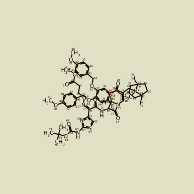 BOC(=O)CCO/N=C(\C(=O)N[C@@H]1C(=O)N2C=C(C[N+]3(C)[C@@H]4CC[C@H]3C[C@@H](NC(=O)c3cc(OCc5ccc(OC)cc5)c(OCc5ccc(OC)cc5)cc3F)C4)CS[C@H]12)c1csc(NC(=O)OC(C)(C)C)n1